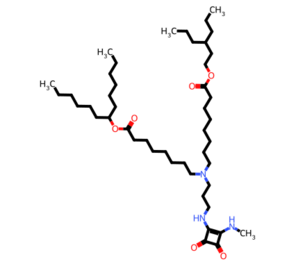 CCCCCCC(CCCCCC)OC(=O)CCCCCCCN(CCCCCCCC(=O)OCCC(CCC)CCC)CCCNc1c(NC)c(=O)c1=O